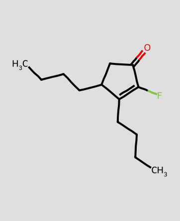 CCCCC1=C(F)C(=O)CC1CCCC